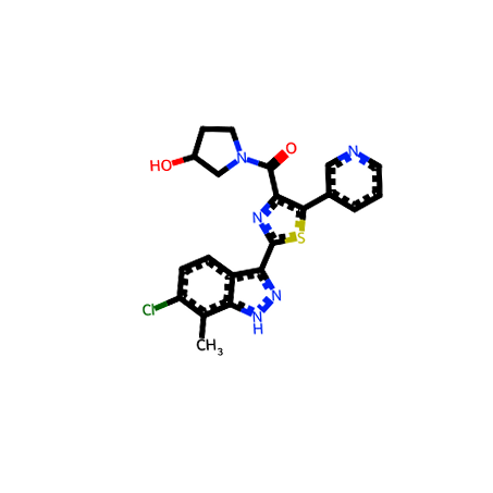 Cc1c(Cl)ccc2c(-c3nc(C(=O)N4CCC(O)C4)c(-c4cccnc4)s3)n[nH]c12